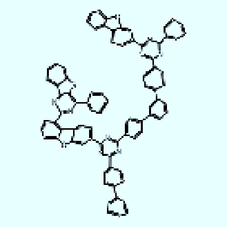 c1ccc(-c2ccc(-c3nc(-c4ccc(-c5cccc(-c6ccc(-c7nc(-c8ccccc8)nc(-c8ccc9c(c8)oc8ccccc89)n7)cc6)c5)cc4)nc(-c4ccc5c(c4)oc4cccc(-c6nc(-c7ccccc7)c7sc8ccccc8c7n6)c45)n3)cc2)cc1